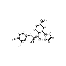 CCN(C(=O)Cc1ccc(F)c(F)c1)C1CCC(OC(C)=O)CC1N1CC=CC1